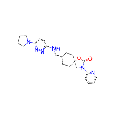 O=C1OC2(CCC(CNc3ccc(N4CCCC4)nn3)CC2)CN1c1ccccn1